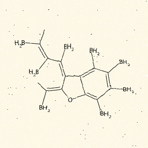 B/C(C)=C(B)/C(B)=c1\c(=C(\B)C)oc2c(B)c(B)c(B)c(B)c12